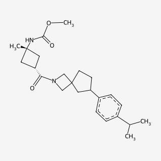 COC(=O)N[C@]1(C)C[C@H](C(=O)N2CC3(CCC(c4ccc(C(C)C)cc4)C3)C2)C1